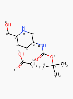 CC(=O)O.CC(C)(C)OC(=O)NC1CCC(CO)NC1